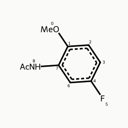 COc1ccc(F)cc1NC(C)=O